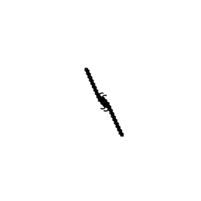 CCCCCCCCCCCCCCCCCCc1cc2c(s1)sc1c3cc(CCCCCCCCCCCCCCCCCC)sc3sc21